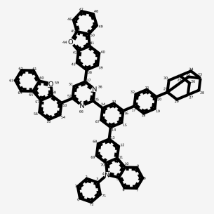 c1ccc(-n2c3ccccc3c3cc(-c4cc(-c5ccc(C67CC8CC(CC(C8)C6)C7)cc5)cc(-c5nc(-c6ccc7c(c6)oc6ccccc67)cc(-c6cccc7c6oc6ccccc67)n5)c4)ccc32)cc1